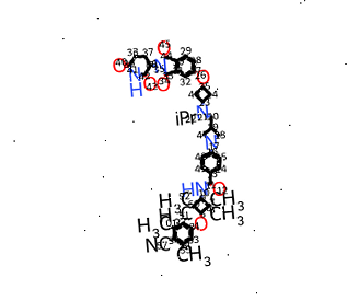 Cc1cc(OC2C(C)(C)C(NC(=O)c3ccc(N4CC(CN(C(C)C)C5CC(Oc6ccc7c(c6)C(=O)N([C@@H]6CCC(=O)NC6=O)C7=O)C5)C4)cc3)C2(C)C)cc(C)c1C#N